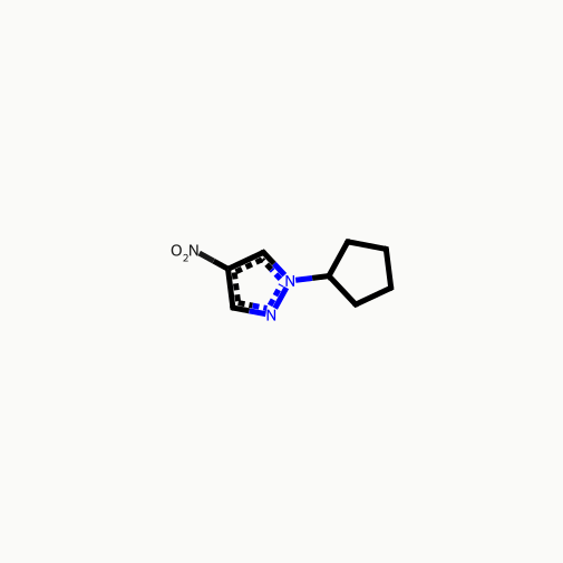 O=[N+]([O-])c1cnn([C]2CCCC2)c1